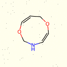 C1=C\OCN/C=C\OC/1